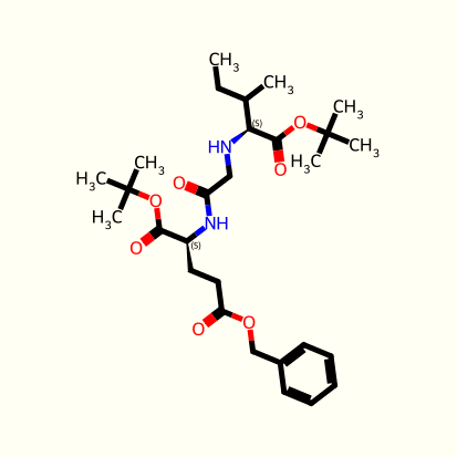 CCC(C)[C@H](NCC(=O)N[C@@H](CCC(=O)OCc1ccccc1)C(=O)OC(C)(C)C)C(=O)OC(C)(C)C